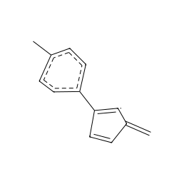 C=C1[C]=C(c2ccc(C)cc2)C=C1